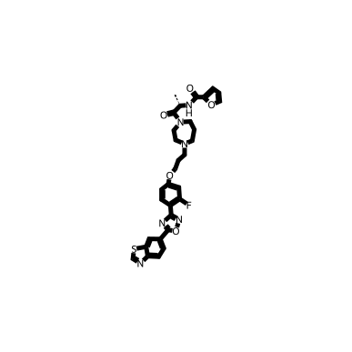 C[C@H](NC(=O)c1ccco1)C(=O)N1CCCN(CCCOc2ccc(-c3noc(-c4ccc5ncsc5c4)n3)c(F)c2)CC1